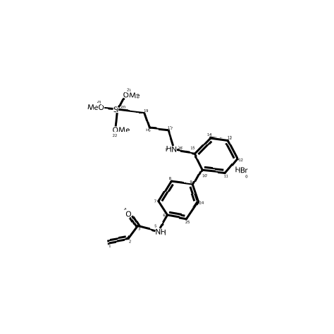 Br.C=CC(=O)Nc1ccc(-c2ccccc2NCCC[Si](OC)(OC)OC)cc1